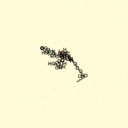 CCCCC1CC(=O)N(CCOCCOCCOCCn2cc(CC(OC(=O)N(C)[C@H](C(=O)N[C@H](C(=O)N(C)[C@@H](C(C)CC)[C@@H](CC(=O)N3CCC[C@H]3[C@H](OC)[C@@H](C)C(=O)NC(Cc3ccccc3)C(=O)O)OC)C(C)C)C(C)C)c3ccc(O[C@@H]4O[C@H](CO)[C@H](O)[C@H](O)[C@H]4O)c4cc(C(=O)O)sc34)nn2)C1=O